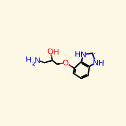 NCC(O)COc1cccc2c1N[CH]N2